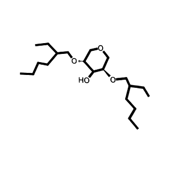 CCCCC(CC)CO[C@@H]1COC[C@@H](OCC(CC)CCCC)C1O